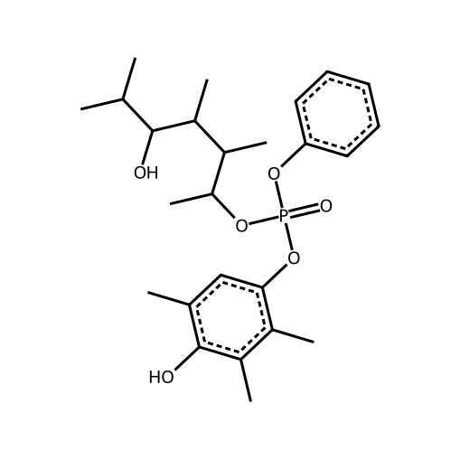 Cc1cc(OP(=O)(Oc2ccccc2)OC(C)C(C)C(C)C(O)C(C)C)c(C)c(C)c1O